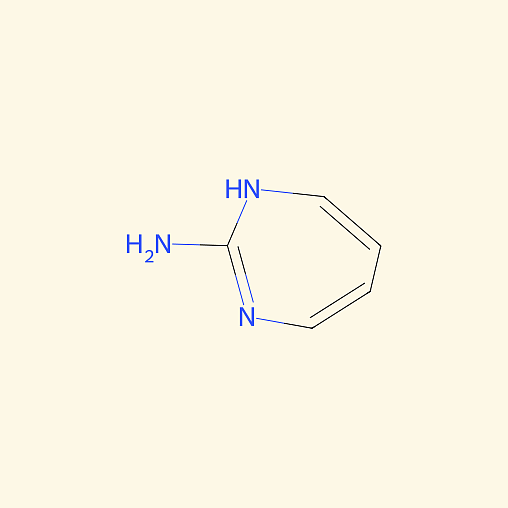 NC1=NC=CC=CN1